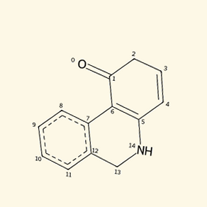 O=C1CC=CC2=C1c1ccccc1CN2